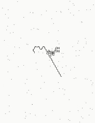 CC/C=C\C/C=C\C/C=C\C/C=C\C/C=C\CCCC(=O)O[C@H](COCCCCCCCCCCCCCCCCCC)COP(=O)(O)OC[C@@H](O)CO